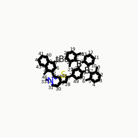 Cc1cccc(C)c1B1c2ccccc2B(c2c(C)cccc2C)c2cc(-c3cc4cc[n+](C)c(-c5cc(C(C)(C)C)c6ccccc6c5C)c4s3)ccc21